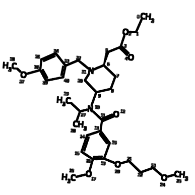 CCOC(=O)C[C@H]1CCC(N(C(=O)c2ccc(OC)c(OCCCOC)c2)C(C)C)CN1Cc1ccc(OC)cc1